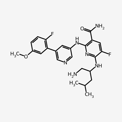 COc1ccc(F)c(-c2cncc(Nc3nc(NC(CN)CC(C)C)c(F)cc3C(N)=O)c2)c1